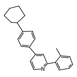 Cc1ccccc1-c1cc(-c2ccc(C3CCCCC3)cc2)ccn1